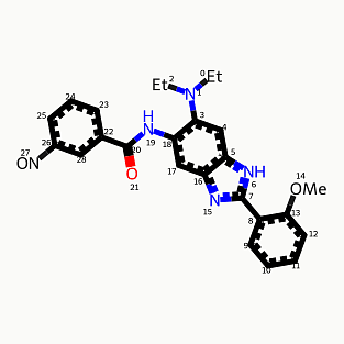 CCN(CC)c1cc2[nH]c(-c3ccccc3OC)nc2cc1NC(=O)c1cccc(N=O)c1